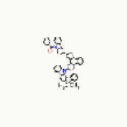 CC1(C)c2ccccc2-c2c1ccc1c3ccccc3n(-c3ccc4c5ccccc5c5ccc(-c6ccc7c(c6)c6cccc8c9ccccc9c(=O)n7c86)cc5c4c3)c21